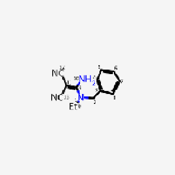 CCN(Cc1ccccc1)C(N)=C(C#N)C#N